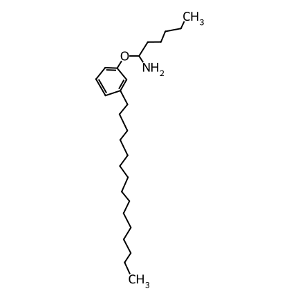 CCCCCCCCCCCCCCCc1cccc(OC(N)CCCCC)c1